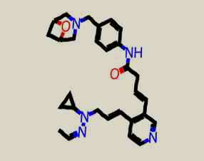 C/C=N\N(C/C=C/c1ccncc1C=CCC(=O)Nc1ccc(CN2CC3CC(C2)O3)cc1)C1CC1